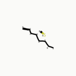 C=CCCCCCC.C=S